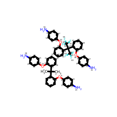 CC(C)(c1ccccc1Oc1ccc(N)cc1)c1ccccc1Oc1ccc(N)cc1.Nc1ccc(Oc2ccccc2C(c2ccccc2Oc2ccc(N)cc2)(C(F)(F)F)C(F)(F)F)cc1